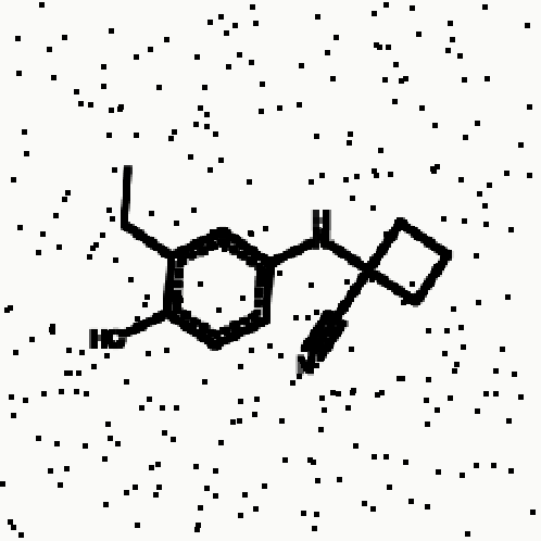 CCc1cc(NC2(C#N)CCC2)ccc1O